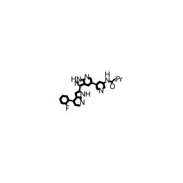 CC(C)C(=O)Nc1cncc(-c2cnc3[nH]nc(-c4cc5c(-c6ccccc6F)ccnc5[nH]4)c3c2)c1